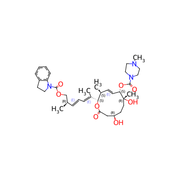 C/C(=C\C=C\[C@@H](C)COC(=O)N1CCc2ccccc21)[C@H]1OC(=O)C[C@H](O)CC[C@@](C)(O)[C@@H](OC(=O)N2CCN(C)CC2)/C=C/[C@@H]1C